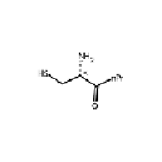 CCCC(=O)[C@@H](N)CS